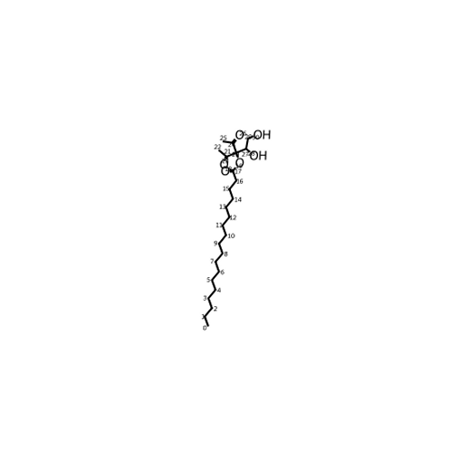 CCCCCCCCCCCCCCCCCC(=O)OC(C(C)=O)(C(C)=O)C(O)CO